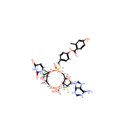 Cc1cc(O)ccc1C(=O)Oc1ccc(CSP2(=O)OC[C@H]3O[C@@H](n4cnc5c(N)ncnc54)[C@H](F)[C@@H]3OP(=O)(O)OC[C@H]3O[C@@H](n4ccc(=O)[nH]c4=O)[C@H](O2)[C@@H]3F)cc1